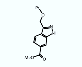 COC(=O)c1ccc2c(COC(C)C)n[nH]c2c1